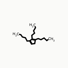 CCCCCC1=CCC(CCCCC)=C1CCCCC